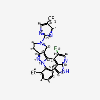 CCc1cccc(CC)c1-n1nc2c(c1-c1c(F)cnc3[nH]ccc13)CN(c1ncc(C(F)(F)F)cn1)CC2